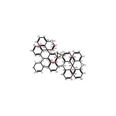 C1=NCCC(N2c3ccccc3C3(c4ccccc4Oc4ccccc43)c3ccccc32)C1c1ccc(N2c3ccccc3C3(c4ccccc4Oc4ccccc43)c3ccccc32)c(C2CN2)c1